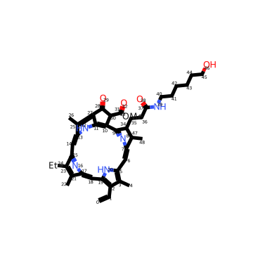 C=Cc1c(C)c2cc3nc(c4c5[nH]c(cc6nc(cc1[nH]2)C(C)=C6CC)c(C)c5C(=O)C4C(=O)OC)C(CCC(=O)NCCCCCCO)C3C